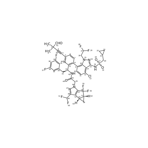 CC(C)(C#Cc1ccc(-c2ccc(Cl)c3c(NS(=O)(=O)CC4CC4)nn(CC(F)F)c23)c([C@H](Cc2cc(F)cc(F)c2)NC(=O)Cn2nc(C(F)F)c3c2C(F)(F)[C@@H]2C[C@H]32)n1)C=O